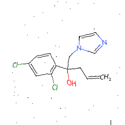 C=CCC(O)(Cn1ccnc1)c1ccc(Cl)cc1Cl